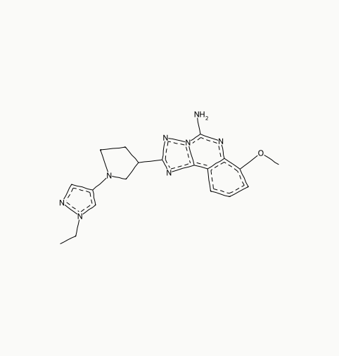 CCn1cc(N2CCC(c3nc4c5cccc(OC)c5nc(N)n4n3)C2)cn1